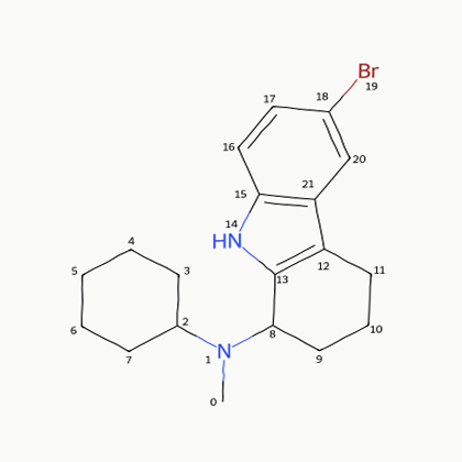 CN(C1CCCCC1)C1CCCc2c1[nH]c1ccc(Br)cc21